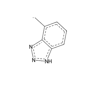 [CH2]c1cccc2[nH]nnc12